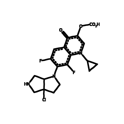 O=C(O)Oc1cn(C2CC2)c2c(F)c(N3CCC4(Cl)CNCC34)c(F)cc2c1=O